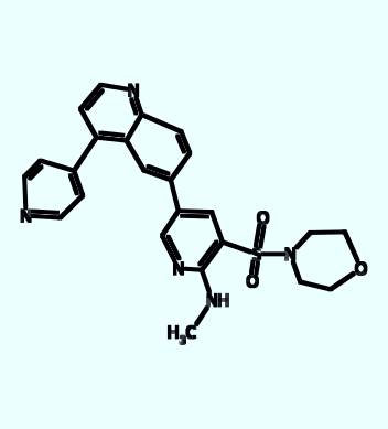 CNc1ncc(-c2ccc3nccc(-c4ccncc4)c3c2)cc1S(=O)(=O)N1CCOCC1